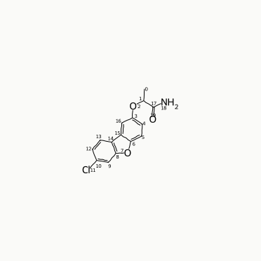 CC(Oc1ccc2oc3cc(Cl)ccc3c2c1)C(N)=O